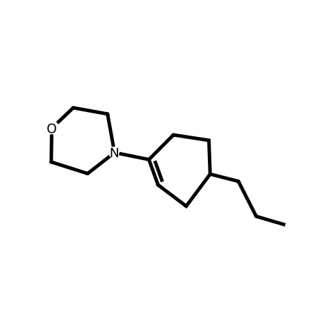 CCCC1CC=C(N2CCOCC2)CC1